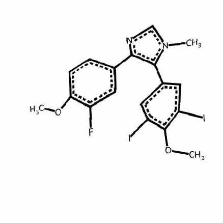 COc1ccc(-c2ncn(C)c2-c2cc(I)c(OC)c(I)c2)cc1F